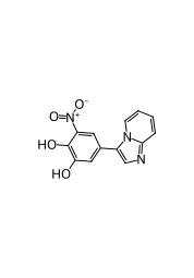 O=[N+]([O-])c1cc(-c2cnc3ccccn23)cc(O)c1O